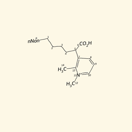 CCCCCCCCCCCCCC(C(=O)O)c1ccc[n+](C)c1C